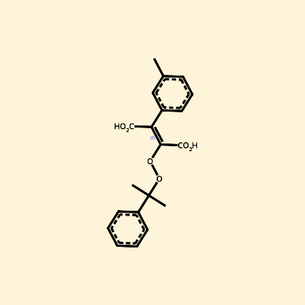 Cc1cccc(/C(C(=O)O)=C(/OOC(C)(C)c2ccccc2)C(=O)O)c1